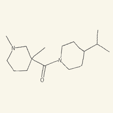 CC(C)C1CCN(C(=O)C2(C)CCCN(C)C2)CC1